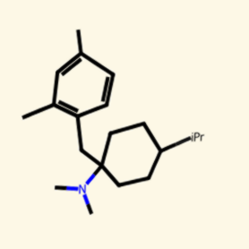 Cc1ccc(CC2(N(C)C)CCC(C(C)C)CC2)c(C)c1